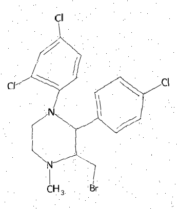 CN1CCN(c2ccc(Cl)cc2Cl)C(c2ccc(Cl)cc2)C1CBr